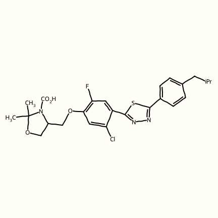 CC(C)Cc1ccc(-c2nnc(-c3cc(F)c(OCC4COC(C)(C)N4C(=O)O)cc3Cl)s2)cc1